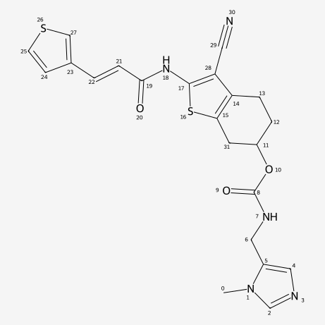 Cn1cncc1CNC(=O)OC1CCc2c(sc(NC(=O)C=Cc3ccsc3)c2C#N)C1